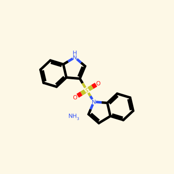 N.O=S(=O)(c1c[nH]c2ccccc12)n1ccc2ccccc21